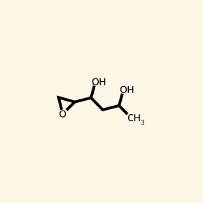 CC(O)CC(O)C1CO1